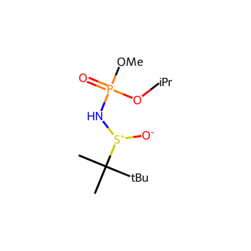 COP(=O)(N[S+]([O-])C(C)(C)C(C)(C)C)OC(C)C